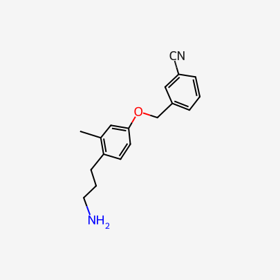 Cc1cc(OCc2cccc(C#N)c2)ccc1CCCN